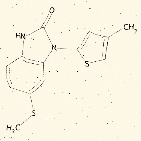 CSc1ccc2[nH]c(=O)n(-c3cc(C)cs3)c2c1